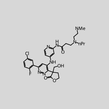 CCCN(CCNC)CCC(=O)Nc1cc(Nc2cc(-c3cc(Cl)ccc3F)nnc2C2(CO)CCOC2=O)ccn1